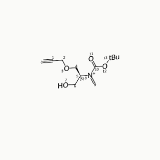 C#CCOC[C@H](CO)[N+](=C)C(=O)OC(C)(C)C